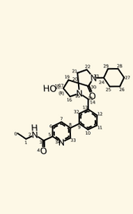 CCNC(=O)c1ccc(-c2cccc(CN3C[C@H](O)CC34CCN(C3CCCCC3)C4=O)c2)cn1